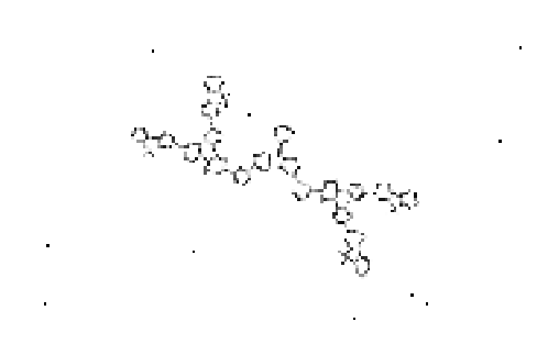 CC1(C)c2ccccc2-c2ccc(-c3ccc4c(c3)c3cc(-c5ccc6c(c5)C(C)(C)c5ccccc5-6)ccc3c3nc(-c5cccc(-c6ccc7c(c6)c6cc(-c8cccc(-c9cnc%10c%11ccc(-c%12ccc%13c(c%12)C(C)(C)c%12ccccc%12-%13)cc%11c%11cc(-c%12ccc%13c(c%12)C(C)(C)c%12ccccc%12-%13)ccc%11c%10n9)c8)ccc6n7-c6ccccc6)c5)cnc43)cc21